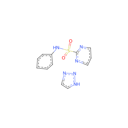 O=S(=O)(Nc1ccccc1)c1ncccn1.c1c[nH]nn1